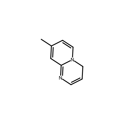 CC1=CC2=NC=CCN2C=C1